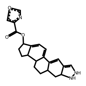 O=C(OC1CCC2C1=CC=C1C3=CC4=CNNC4CC3CCC12)c1cocn1